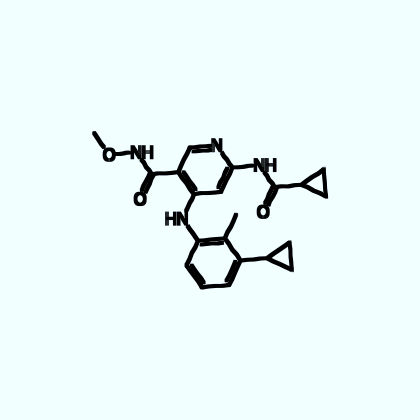 CONC(=O)c1cnc(NC(=O)C2CC2)cc1Nc1cccc(C2CC2)c1C